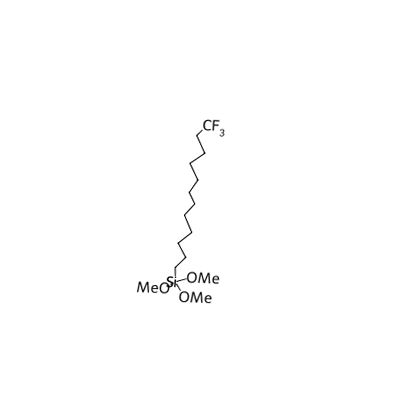 CO[Si](CCCCCCCCCCCC(F)(F)F)(OC)OC